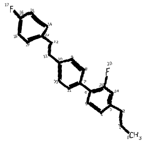 CCCc1ccc(-c2ccc(CCc3ccc(F)cc3)cc2)c(F)c1